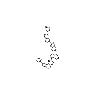 c1ccc(-c2ccc3ccc4ccc(-c5ccc(-c6ccc7ccc(-c8ccc9ccc(-c%10cccnc%10)nc9c8)nc7c6)c6ccccc56)nc4c3n2)cc1